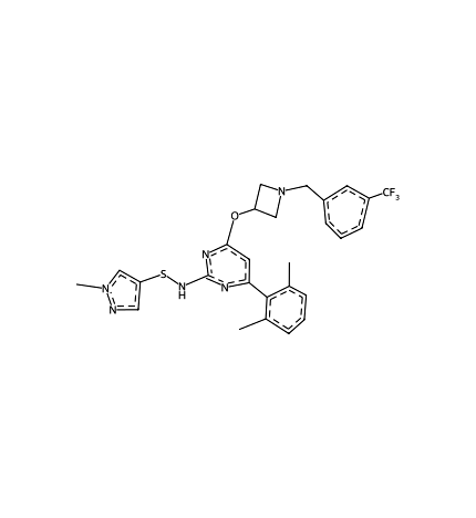 Cc1cccc(C)c1-c1cc(OC2CN(Cc3cccc(C(F)(F)F)c3)C2)nc(NSc2cnn(C)c2)n1